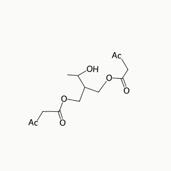 CC(=O)CC(=O)OCC(COC(=O)CC(C)=O)C(C)O